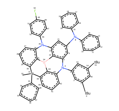 CC(C)(C)c1cc(N2c3cc(N(c4ccccc4)c4ccccc4)cc4c3B3c5c(cccc5[Si](C)(c5ccccc5)c5cccc2c53)N4c2ccc(F)cc2)cc(C(C)(C)C)c1